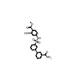 COC(=O)c1ccc(NS(=O)(=O)c2cccc(-c3cccc(C(N)=O)c3)c2)cc1O